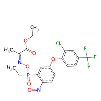 CCOC(=O)C(C)=NOP(=O)(CC)c1cc(Oc2ccc(C(F)(F)F)cc2Cl)ccc1N=O